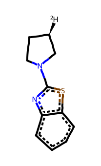 [2H][C@@H]1CCN(c2nc3ccccc3s2)C1